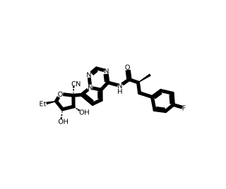 CC[C@H]1O[C@@](C#N)(c2ccc3c(NC(=O)[C@@H](C)Cc4ccc(F)cc4)ncnn23)[C@H](O)[C@@H]1O